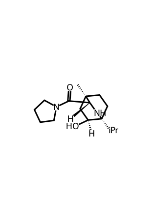 CC(C)[C@]12CC[C@](C)(C[C@@H]1O)[C@@H](C(=O)N1CCCC1)N2